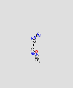 Cn1cc(-n2cnc3cc(C#Cc4cccc(C(=O)Nc5cc(C(F)(F)F)ccn5)c4)ccc32)cn1